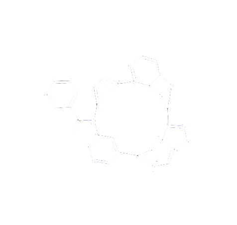 O=C(c1ccccc1)n1c2cncc(c2)c2ncc3[nH]nc(c4nc5c(cccc5c5ccc1s5)[nH]4)c3c2F